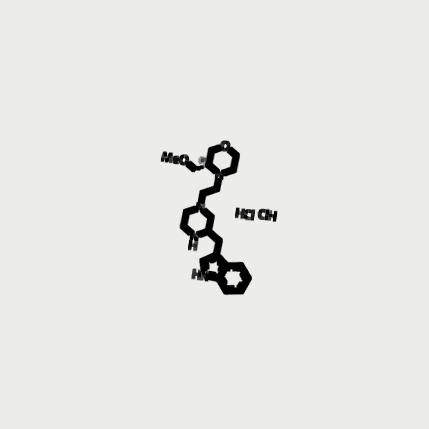 COC[C@@H]1COCCN1CCN1CCNC(Cc2c[nH]c3ccccc23)C1.Cl.Cl